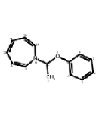 CC(Oc1cc[c]cc1)N1C=CC=CC=C1